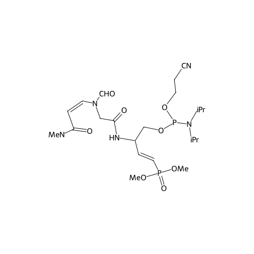 CNC(=O)/C=C\N(C=O)CC(=O)NC(/C=C/P(=O)(OC)OC)COP(OCCC#N)N(C(C)C)C(C)C